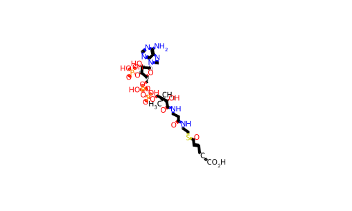 CC(C)(COP(=O)(O)OP(=O)(O)OC[C@H]1O[C@@H](n2cnc3c(N)ncnc32)[C@H](O)[C@@H]1OP(=O)(O)O)[C@@H](O)C(=O)NCCC(=O)NCCSC(=O)C=CCCCC(=O)O